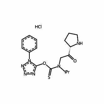 CC(C)N(CC(=O)[C@@H]1CCCN1)C(=S)Oc1nnnn1-c1ccccc1.Cl